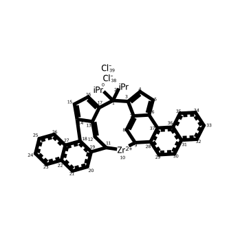 CC(C)C1(C(C)C)C2=CC=C3C2=C[CH]([Zr+2][CH]2C=C4C(=CC=C41)c1c2ccc2ccccc12)c1ccc2ccccc2c13.[Cl-].[Cl-]